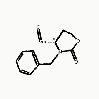 O=C[C@@H]1CCOC(=O)N1Cc1ccccc1